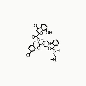 CN(C)CCNC(=O)c1ccccc1N1CCN(C(=O)[C@@H](Cc2ccc(Cl)cc2)NC(=O)c2cc(=O)c3cccc(O)c3o2)CC1